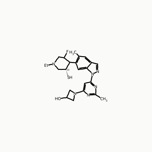 CCN1CC(F)C(c2cc3c(cnn3-c3cc(N4CC(O)C4)nc(C)n3)cc2C)[C@H](S)C1